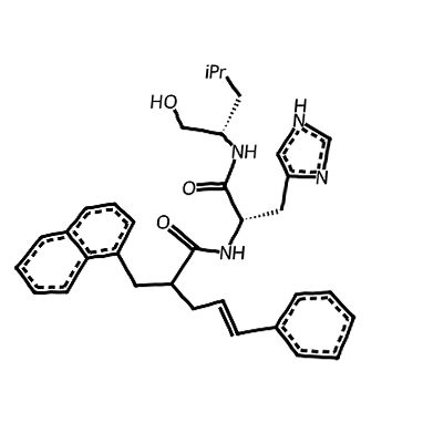 CC(C)C[C@@H](CO)NC(=O)[C@H](Cc1c[nH]cn1)NC(=O)C(CC=Cc1ccccc1)Cc1cccc2ccccc12